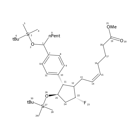 CCCCCC(O[Si](C)(C)C(C)(C)C)c1ccc([C@@H]2C(C/C=C\CCCC(=O)OC)[C@H](F)C[C@H]2O[Si](C)(C)C(C)(C)C)cc1